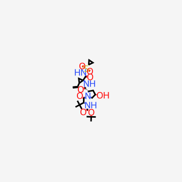 C=CC1CC1(NC(=O)[C@@H]1C[C@@H](O)CN1C(=O)[C@@H](NC(=O)OC(C)(C)C)C(C)(C)C)C(=O)NS(=O)(=O)C1CC1